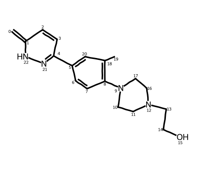 C=C1C=CC(c2ccc(N3CCN(CCO)CC3)c(C)c2)=NN1